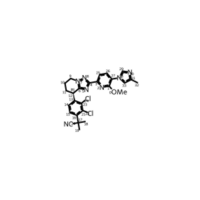 COc1nc(-c2nc3n(n2)CCC[C@@H]3c2ccc(C(C)(C)C#N)c(Cl)c2Cl)ccc1-n1cnc(C)c1